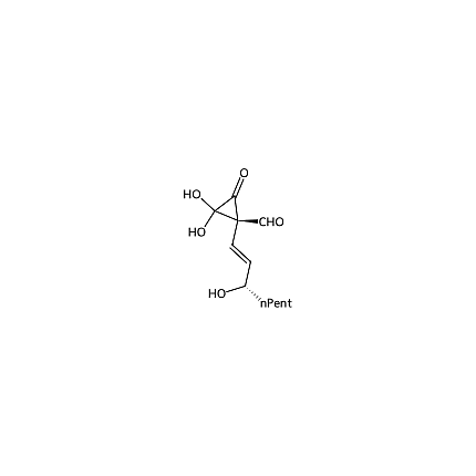 CCCCC[C@H](O)/C=C/[C@@]1(C=O)C(=O)C1(O)O